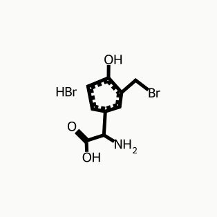 Br.NC(C(=O)O)c1ccc(O)c(CBr)c1